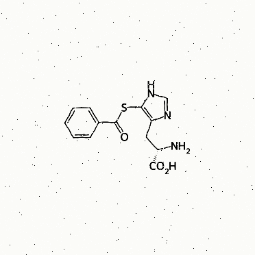 N[C@@H](Cc1nc[nH]c1SC(=O)c1ccccc1)C(=O)O